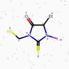 CCC1C(=O)N(CS)C(=S)N1I